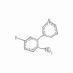 O=[N+]([O-])c1ccc(F)cc1-c1cccnc1